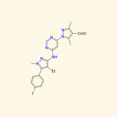 CCc1c(Nc2cc(-n3nc(C)c(C=O)c3C)ncn2)nn(C)c1-c1ccc(F)cc1